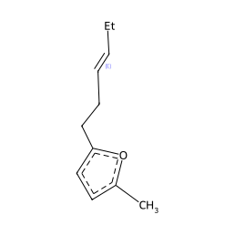 CC/C=C/CCc1ccc(C)o1